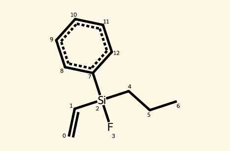 C=C[Si](F)(CCC)c1ccccc1